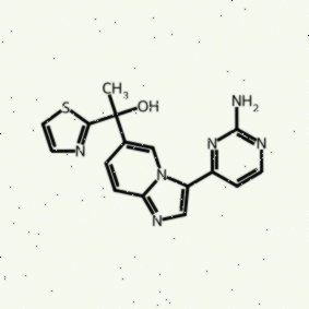 CC(O)(c1ccc2ncc(-c3ccnc(N)n3)n2c1)c1nccs1